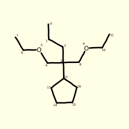 CCCC(COCC)(COCC)C1CCCC1